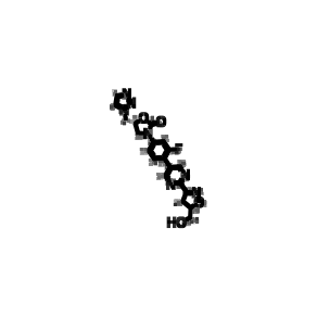 O=C1O[C@@H](Cn2ccnn2)CN1c1ccc(-c2cnc(C3=NOC(CO)C3)nc2)c(F)c1